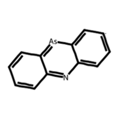 [c]1ccc2c(c1)[As]=c1ccccc1=N2